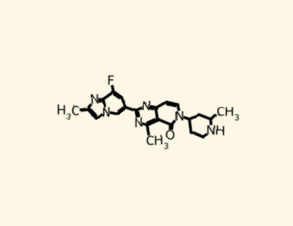 Cc1cn2cc(-c3nc(C)c4c(=O)n(C5CCNC(C)C5)ccc4n3)cc(F)c2n1